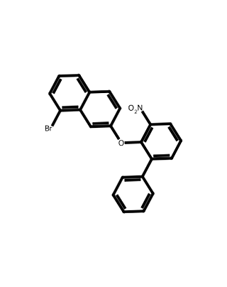 O=[N+]([O-])c1cccc(-c2ccccc2)c1Oc1ccc2cccc(Br)c2c1